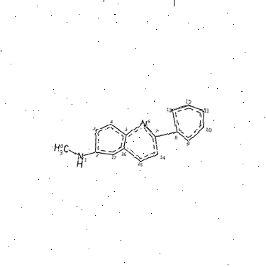 CNc1ccc2nc(-c3ccccc3)ccc2c1